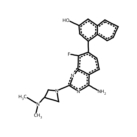 CN(C)C1CN(c2nc(N)c3ccc(-c4cc(O)cc5ccccc45)c(F)c3n2)C1